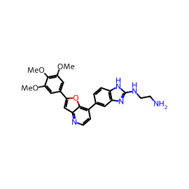 COc1cc(-c2cc3nccc(-c4ccc5[nH]c(NCCN)nc5c4)c3o2)cc(OC)c1OC